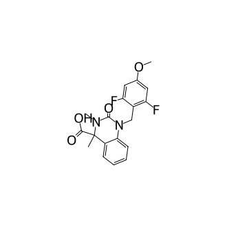 COc1cc(F)c(CN2C(=O)N(C)C(C)(C(=O)O)c3ccccc32)c(F)c1